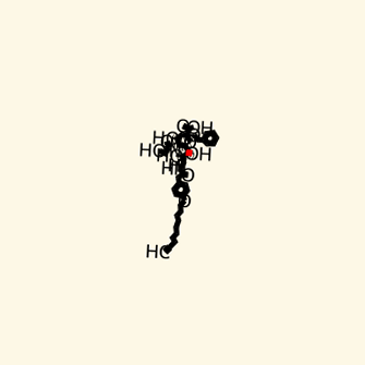 C#CCCCCCCCCOc1ccc(CC(=O)NC[C@@H](O)[C@@H](O)[C@@H]2O[C@@](OCc3ccccc3)(C(=O)O)C[C@H](O)[C@H]2NC(=O)CO)cc1